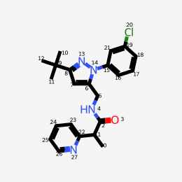 CC(C(=O)NCc1cc(C(C)(C)C)nn1-c1cccc(Cl)c1)c1ccccn1